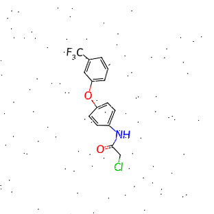 O=C(CCl)Nc1ccc(Oc2cccc(C(F)(F)F)c2)cc1